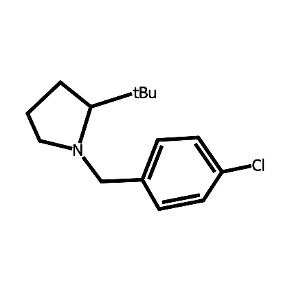 CC(C)(C)C1CCCN1Cc1ccc(Cl)cc1